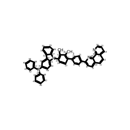 Cc1c(-c2ccc(-c3ccc4ccc5cccnc5c4n3)cc2)ccc(-n2c3ccccc3c3cc(N(c4ccccc4)c4ccccc4)ccc32)c1C